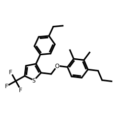 CCCc1ccc(OCc2sc(C(F)(F)F)cc2-c2ccc(CC)cc2)c(C)c1C